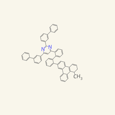 CC1CC=Cc2c1c1ccccc1c1cc(-c3ccccc3-c3ccccc3-c3cc(-c4cccc(-c5ccccc5)c4)nc(-c4cccc(-c5ccccc5)c4)n3)ccc21